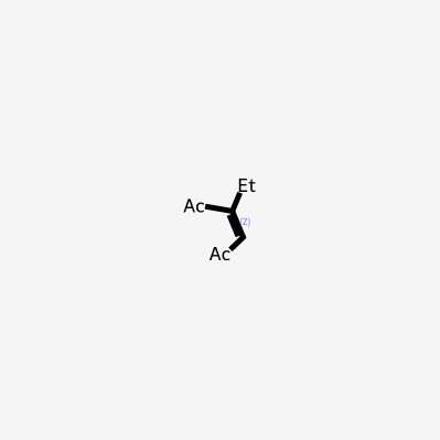 CC/C(=C/C(C)=O)C(C)=O